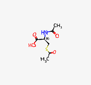 CC(=O)N[C@@H](CSC(C)=O)C(=O)O